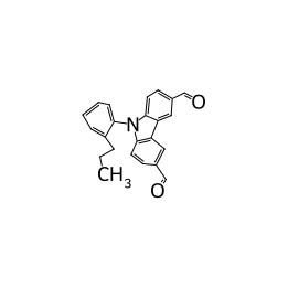 CCCc1ccccc1-n1c2ccc(C=O)cc2c2cc(C=O)ccc21